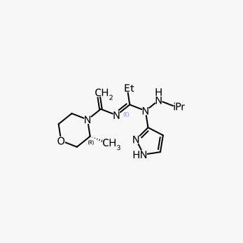 C=C(/N=C(\CC)N(NC(C)C)c1cc[nH]n1)N1CCOC[C@H]1C